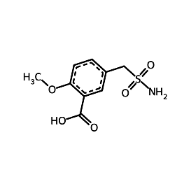 COc1ccc(CS(N)(=O)=O)cc1C(=O)O